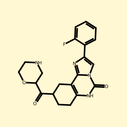 O=C(C1CCc2[nH]c(=O)n3cc(-c4ccccc4F)nc3c2C1)C1CNCCO1